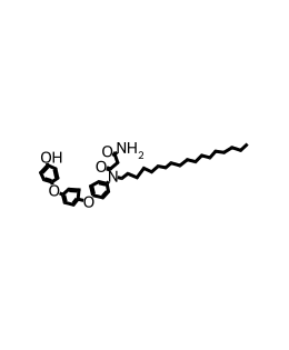 CCCCCCCCCCCCCCCCCCN(C(=O)CC(N)=O)c1ccc(Oc2ccc(Oc3ccc(O)cc3)cc2)cc1